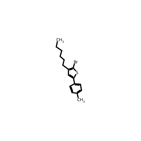 CCCCCCc1cc(-c2ccc(C)cc2)sc1Br